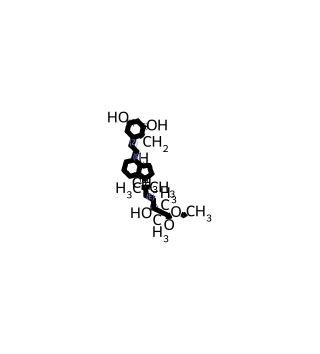 C=C1/C(=C\C=C2/CCC[C@]3(C)[C@@H](C(C)(C)/C=C/[C@@H](O)C(C)(C)C(=O)OCC)CC[C@@H]23)C[C@@H](O)C[C@@H]1O